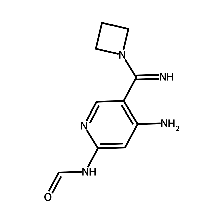 N=C(c1cnc(NC=O)cc1N)N1CCC1